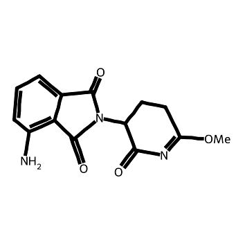 COC1=NC(=O)C(N2C(=O)c3cccc(N)c3C2=O)CC1